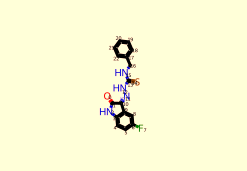 O=C1Nc2ccc(F)cc2/C1=N/NC(=S)NCc1ccccc1